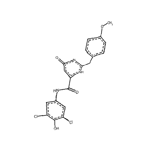 COc1ccc(Cc2nc(=O)cc(C(=O)Nc3cc(Cl)c(O)c(Cl)c3)[nH]2)cc1